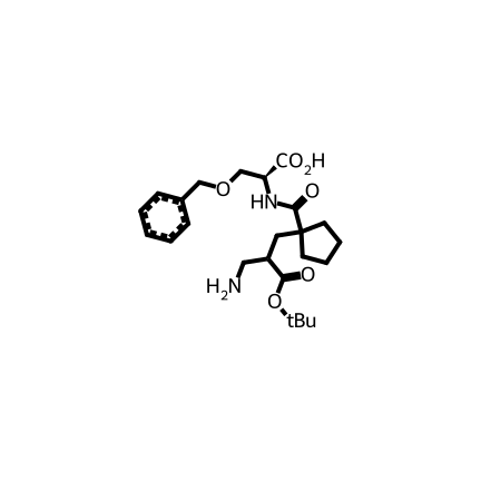 CC(C)(C)OC(=O)C(CN)CC1(C(=O)N[C@@H](COCc2ccccc2)C(=O)O)CCCC1